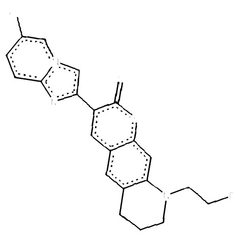 O=c1oc2cc3c(cc2cc1-c1cn2cc(Cl)ccc2n1)CCCN3CCF